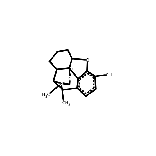 Cc1ccc2c3c1OC1CCCC4C(C2)[N+](C)(C)CC[C@]314